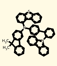 CC1(C)c2ccccc2-c2cc(N(c3ccc(-c4ccccc4-n4c5ccccc5c5ccccc54)cc3)c3cccc4sc5ccccc5c34)ccc21